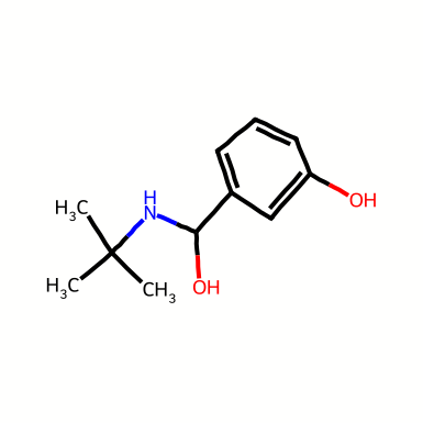 CC(C)(C)NC(O)c1cccc(O)c1